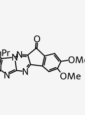 CCCc1nnc2nc3c(nn12)C(=O)c1cc(OC)c(OC)cc1-3